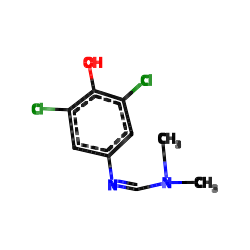 CN(C)/C=N\c1cc(Cl)c(O)c(Cl)c1